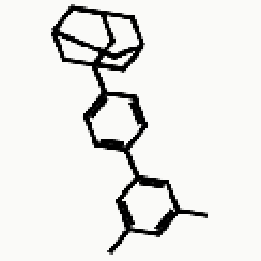 Cc1cc(C)cc(-c2ccc(C34CC5CC(CC(C5)C3)C4)cc2)c1